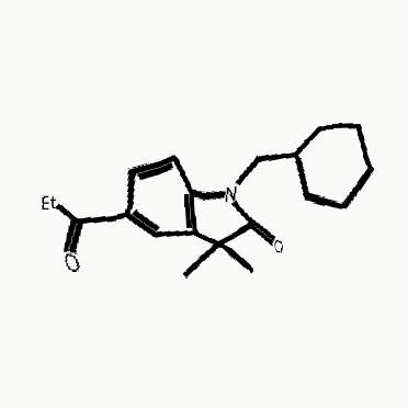 CCC(=O)c1ccc2c(c1)C(C)(C)C(=O)N2CC1CCCCC1